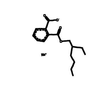 CCCCC(CC)COC(=O)c1ccccc1C(=O)[O-].[Na+]